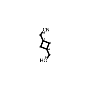 N#CCC1CC(CO)C1